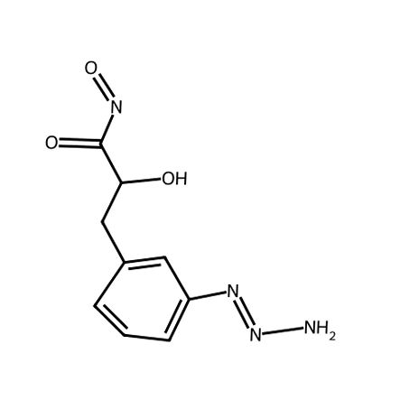 NN=Nc1cccc(CC(O)C(=O)N=O)c1